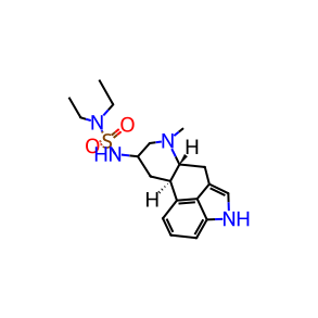 CCN(CC)S(=O)(=O)NC1C[C@@H]2c3cccc4[nH]cc(c34)C[C@H]2N(C)C1